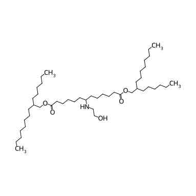 CCCCCCCCC(CCCCCC)COC(=O)CCCCCC(CCCCCC(=O)OCC(CCCCCC)CCCCCCCC)NCCO